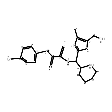 Cc1nc(C(NC(=O)C(=O)Nc2ccc(Br)cc2)C2CCCCN2)sc1CO